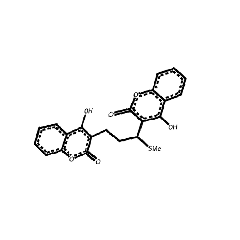 CSC(CCc1c(O)c2ccccc2oc1=O)c1c(O)c2ccccc2oc1=O